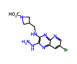 NNc1nc2cc(Br)cnc2nc1NCC1CN(C(=O)O)C1